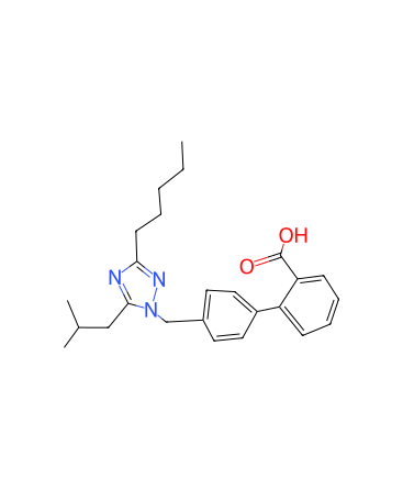 CCCCCc1nc(CC(C)C)n(Cc2ccc(-c3ccccc3C(=O)O)cc2)n1